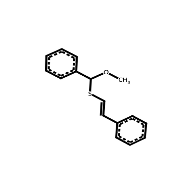 COC(SC=Cc1ccccc1)c1ccccc1